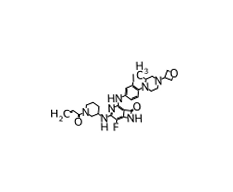 C=CC(=O)N1CCC[C@@H](Nc2nc(Nc3ccc(N4CCN(C5COC5)C[C@@H]4C)c(I)c3)c3c(c2F)NC3=O)C1